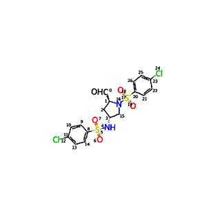 O=C[C@@H]1C[C@@H](NS(=O)(=O)c2ccc(Cl)cc2)CN1S(=O)(=O)c1ccc(Cl)cc1